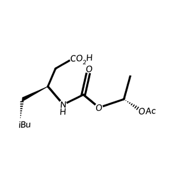 CC[C@@H](C)C[C@@H](CC(=O)O)NC(=O)O[C@H](C)OC(C)=O